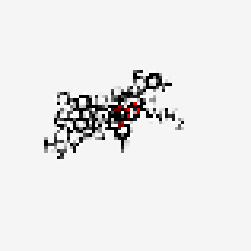 COC(CC[C@@](OC)(C(=O)N1N=C(c2cc(F)ccc2F)SC1(CCCN)c1ccc(Cl)c(Cl)c1)c1ccc(Cl)c(Cl)c1)(C(=O)N1N=C(c2cc(F)ccc2F)SC1(CCCN)c1cccc(Cl)c1)c1cccc(Cl)c1